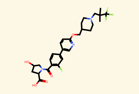 CC(C)(CN1CCC(COc2ccc(-c3ccc(C(=O)N4CC(O)CC4C(=O)O)c(F)c3)cn2)CC1)C(F)(F)F